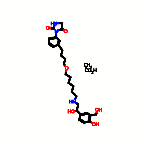 CC(=O)O.O=C1CNC(=O)N1c1cccc(CCCCOCCCCCCNC[C@H](O)c2ccc(O)c(CO)c2)c1